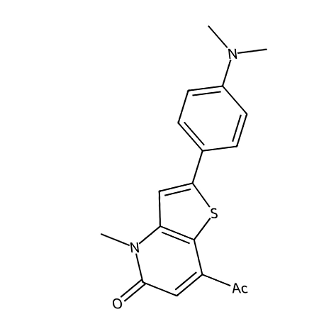 CC(=O)c1cc(=O)n(C)c2cc(-c3ccc(N(C)C)cc3)sc12